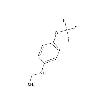 CCNc1ccc(OC(F)(F)F)cc1